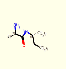 CC[C@H](N)C(=O)N[C@@H](CC(=O)O)C(=O)O